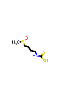 C[S+]([O-])CCCCNC(=S)S